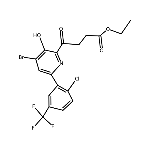 CCOC(=O)CCC(=O)c1nc(-c2cc(C(F)(F)F)ccc2Cl)cc(Br)c1O